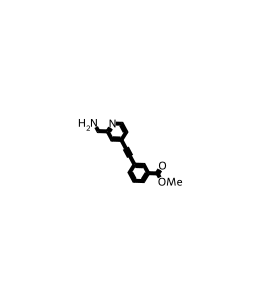 COC(=O)c1cccc(C#Cc2ccnc(CN)c2)c1